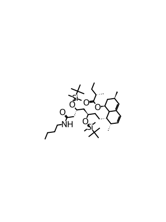 CCCCNC(=O)C[C@@H](C[C@@H](CC[C@@H]1C2C(=C[C@H](C)C[C@@H]2OC(=O)[C@@H](C)CC)C=C[C@@H]1C)O[Si](C)(C)C(C)(C)C)O[Si](C)(C)C(C)(C)C